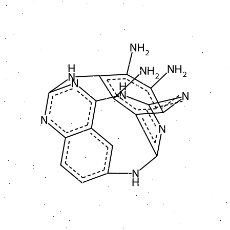 Nc1c2c(N)c3c4nc(nc3c1N)Nc1nc(nc3ccc(cc13)N4)N2